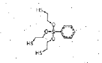 SCCO[Si](OCCS)(OCCS)c1ccccc1